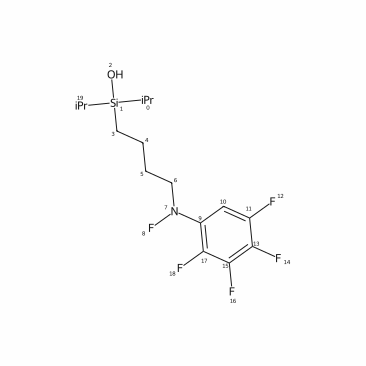 CC(C)[Si](O)(CCCCN(F)c1cc(F)c(F)c(F)c1F)C(C)C